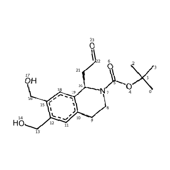 CC(C)(C)OC(=O)N1CCc2cc(CO)c(CO)cc2[C@H]1CC=O